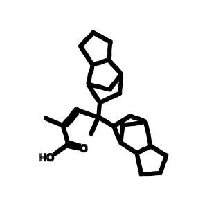 CC(=CC(C)(C1CC2CC1C1CCCC21)C1CC2CC1C1CCCC21)C(=O)O